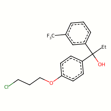 CCC(O)(c1ccc(OCCCCl)cc1)c1cccc(C(F)(F)F)c1